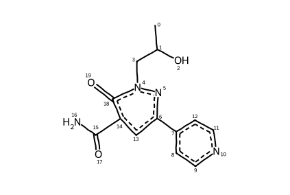 CC(O)Cn1nc(-c2ccncc2)cc(C(N)=O)c1=O